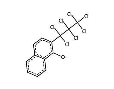 [O]c1c(C(Cl)(Cl)C(Cl)(Cl)C(Cl)(Cl)Cl)ccc2ccccc12